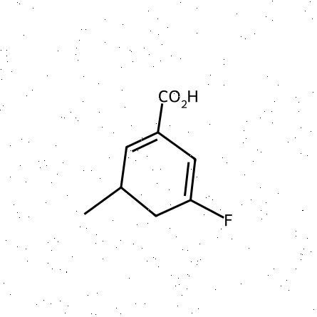 CC1C=C(C(=O)O)C=C(F)C1